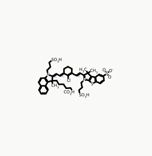 CC1(C)C(/C=C/C2=C(Cl)C(=C/C=C3/N(CCCS(=O)(=O)O)c4ccc5ccccc5c4C3(C)CCCCCC(=O)O)/CCC2)=[N+](CCCS(=O)(=O)O)c2sc3ccc(S(=O)(=O)[O-])cc3c21